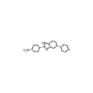 Nc1ccc(-c2nc3cc(-c4ccncc4)ccc3[nH]2)cc1